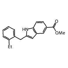 CCc1ccccc1Cc1cc2cc(C(=O)OC)ccc2[nH]1